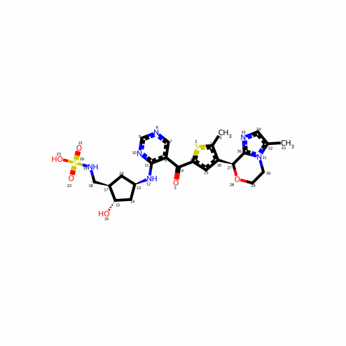 Cc1sc(C(=O)c2cncnc2N[C@H]2C[C@H](O)[C@@H]([CH]NS(=O)(=O)O)C2)cc1[C@@H]1OCCn2c(C)cnc21